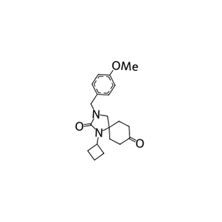 COc1ccc(CN2CC3(CCC(=O)CC3)N(C3CCC3)C2=O)cc1